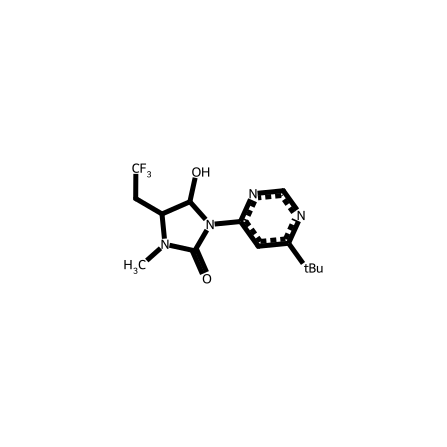 CN1C(=O)N(c2cc(C(C)(C)C)ncn2)C(O)C1CC(F)(F)F